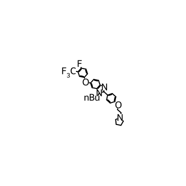 CCCCn1c(-c2ccc(OCCN3CCCC3)cc2)nc2ccc(Oc3ccc(F)c(C(F)(F)F)c3)cc21